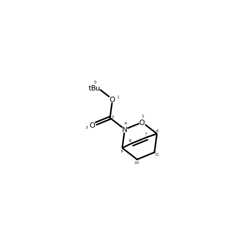 CC(C)(C)OC(=O)N1OC2C=CC1CC2